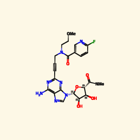 CNC(=O)[C@H]1O[C@@H](n2cnc3c(N)nc(C#CCN(CCOC)C(=O)c4ccc(F)nc4)nc32)[C@H](O)[C@@H]1O